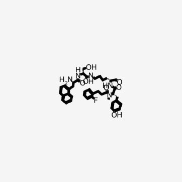 CN(C(=O)CCc1ccccc1F)[C@@H](Cc1ccc(O)cc1)C(=O)N[C@@H]([C]=O)CCCCNC(=O)[C@H](CO)NC(=O)[C@@H](N)Cc1cccc2ccccc12